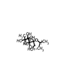 CC(C)OC(C)(CO)C(C)(O)C(C)(O)C(C)(C)O